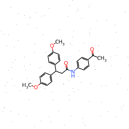 COc1ccc(C(CC(=O)Nc2ccc(C(C)=O)cc2)c2ccc(OC)cc2)cc1